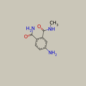 CNC(=O)c1cc(N)ccc1C(N)=O